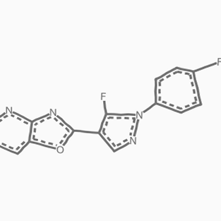 Fc1ccc(-n2ncc(-c3nc4ncccc4o3)c2F)cc1